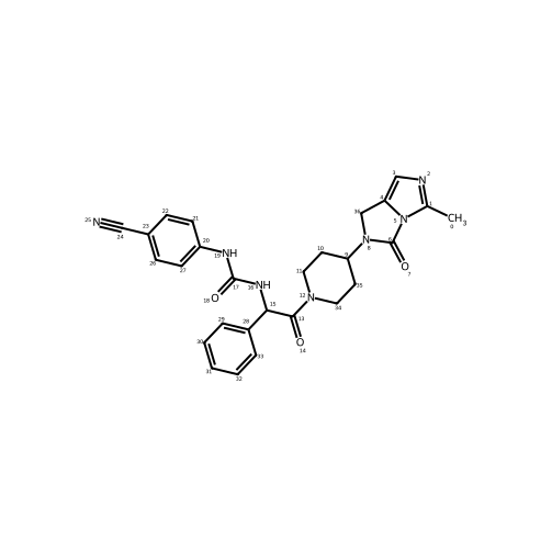 Cc1ncc2n1C(=O)N(C1CCN(C(=O)C(NC(=O)Nc3ccc(C#N)cc3)c3ccccc3)CC1)C2